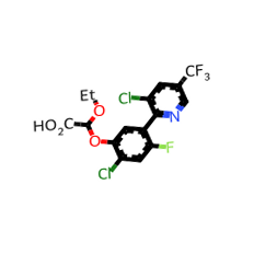 CCOC(Oc1cc(-c2ncc(C(F)(F)F)cc2Cl)c(F)cc1Cl)C(=O)O